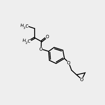 C=C(CC)C(=O)Oc1ccc(OCC2CO2)cc1